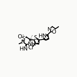 CC1CN=C(c2ccc(-c3cc(Cl)c([C@]4(C)C[S+]([O-])N(C)C(=N)N4)s3)[nH]2)O1